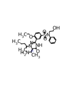 C=C(CCC)N1N=C(c2cc(S(=O)(=O)N(CCO)c3ccccc3)ccc2OCC)NC(=O)/C1=C(\C)N